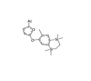 CC(=O)c1ccc(Oc2cc3c(cc2C)[Si](C)(C)CC[Si]3(C)C)o1